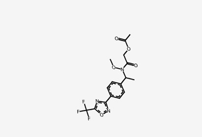 CON(C(=O)COC(C)=O)C(C)c1ccc(-c2noc(C(F)(F)F)n2)cc1